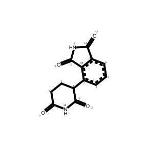 O=C1CCC(c2cccc3c2C(=O)NC3=O)C(=O)N1